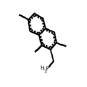 Cc1ccc2cc(C)c(CP)c(C)c2c1